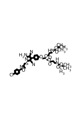 CC(C)(C)OC(=O)NCCC(=O)OC[C@H](COc1ccc(-c2c(C#N)c(N)nc(SCc3coc(-c4ccc(Cl)cc4)n3)c2C#N)cc1)OC(=O)CCNC(=O)OC(C)(C)C